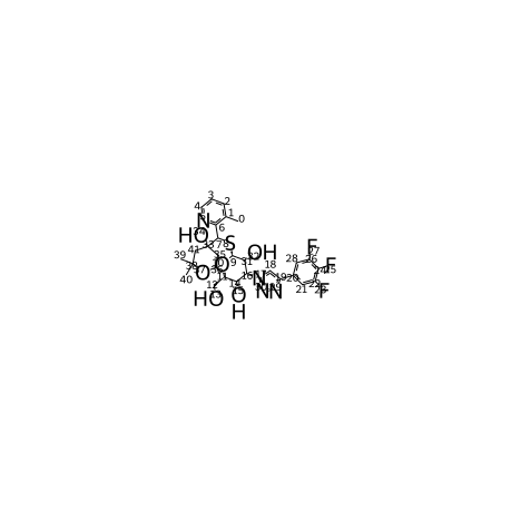 Cc1cccnc1C(S[C@@H]1O[C@H](CO)[C@H](O)[C@H](n2cc(-c3cc(F)c(F)c(F)c3)nn2)[C@H]1O)[C@]1(O)CCOC(C)(C)C1